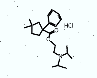 CC(C)N(CCOC(=O)C1(c2ccccc2)CCC(C)(C)C1)C(C)C.Cl